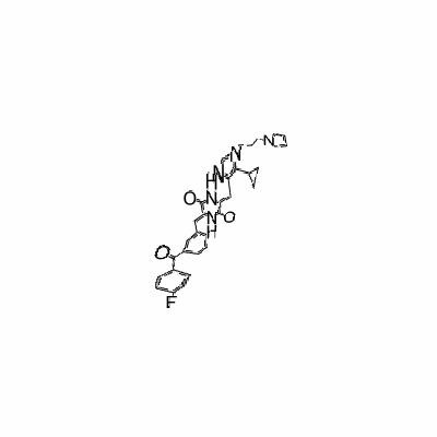 O=C(c1ccc(F)cc1)c1cccc(C=c2[nH]c(=O)c(=Cc3ncn(CCCn4cccc4)c3C3CC3)[nH]c2=O)c1